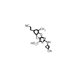 Cc1cc(/C=C/C#N)cc(C)c1Oc1cc(C(=O)O)nc(NC23CC(C#N)(C2)C3)n1